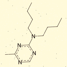 CCCCN(CCCC)c1ncnc(C)n1